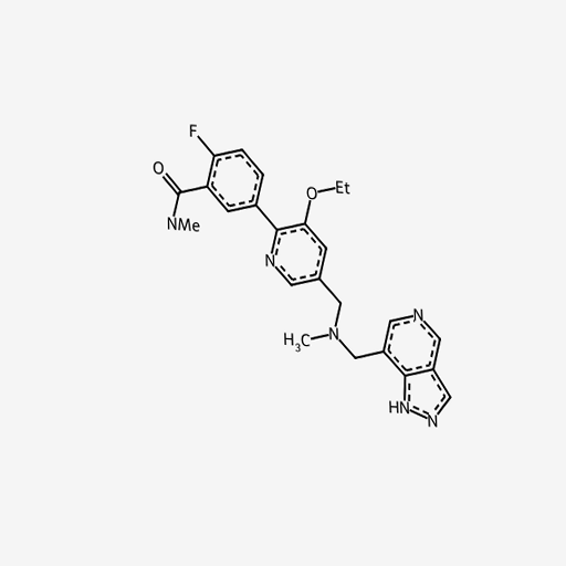 CCOc1cc(CN(C)Cc2cncc3cn[nH]c23)cnc1-c1ccc(F)c(C(=O)NC)c1